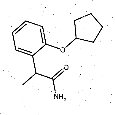 CC(C(N)=O)c1ccccc1OC1CCCC1